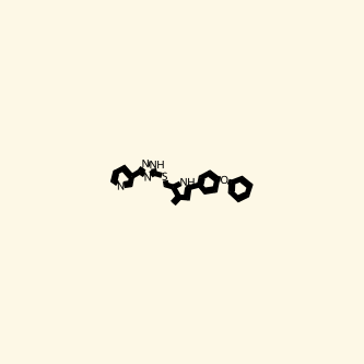 C=C1C=C(c2ccc(Oc3ccccc3)cc2)NC1CSc1nc(-c2cccnc2)n[nH]1